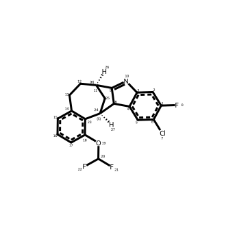 Fc1cc2c(cc1Cl)C1C(=N2)[C@@H]2CCc3cccc(OC(F)F)c3[C@H]1C2